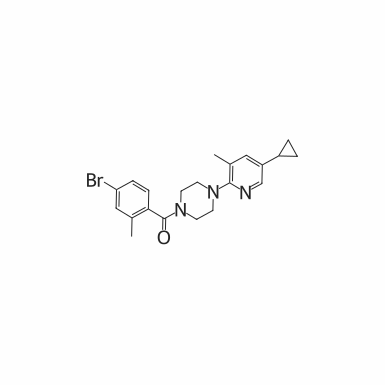 Cc1cc(Br)ccc1C(=O)N1CCN(c2ncc(C3CC3)cc2C)CC1